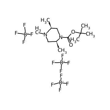 C[C@H]1CN(C(=O)OC(C)(C)C)[C@@H](C)CN1C.F[B-](F)(F)F.F[B-](F)(F)F.F[B-](F)(F)F